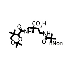 CCCCCCCCCC(C)(C)C(=O)NCCC(C)(CNC(=O)C1OC(C)(C)OCC1(C)C)C(=O)O